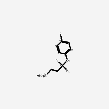 CCCCCCCCCC(F)(F)Oc1ccc(I)cc1